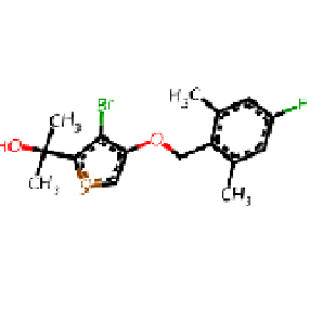 Cc1cc(F)cc(C)c1COc1csc(C(C)(C)O)c1Br